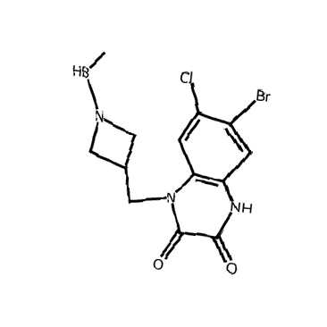 CBN1CC(Cn2c(=O)c(=O)[nH]c3cc(Br)c(Cl)cc32)C1